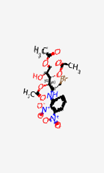 CC(=O)OC[C@@H](O)[C@H](OC(C)=O)[C@H](OC(C)=O)[C@H](CBr)Nc1cccc([N+](=O)[O-])c1[N+](=O)[O-]